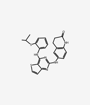 CC(C)Sc1ccccc1Nc1nc(Nc2ccc3c(c2)CCC(=O)N3)nc2ccsc12